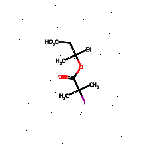 CCC(C)(CC(=O)O)OC(=O)C(C)(C)I